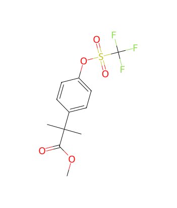 COC(=O)C(C)(C)c1ccc(OS(=O)(=O)C(F)(F)F)cc1